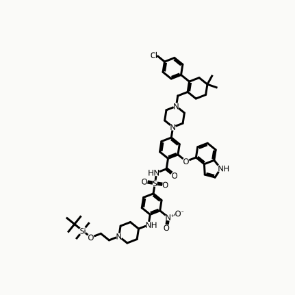 CC1(C)CCC(CN2CCN(c3ccc(C(=O)NS(=O)(=O)c4ccc(NC5CCN(CCO[Si](C)(C)C(C)(C)C)CC5)c([N+](=O)[O-])c4)c(Oc4cccc5[nH]ccc45)c3)CC2)=C(c2ccc(Cl)cc2)C1